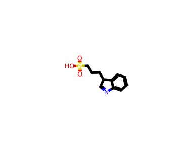 O=S(=O)(O)CCCC1C=Nc2ccccc21